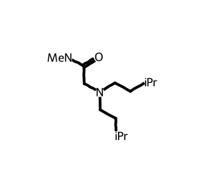 CNC(=O)CN(CCC(C)C)CCC(C)C